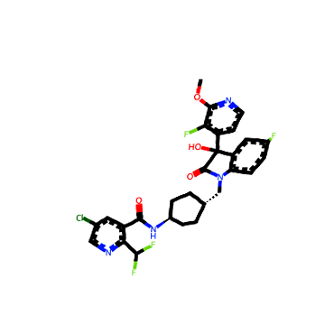 COc1nccc(C2(O)C(=O)N(C[C@H]3CC[C@H](NC(=O)c4cc(Cl)cnc4C(F)F)CC3)c3ccc(F)cc32)c1F